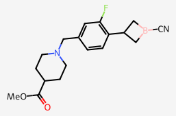 COC(=O)C1CCN(Cc2ccc(C3CB(C#N)C3)c(F)c2)CC1